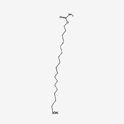 CCCCCCCCCCCCCCCCCCCCCCCCCCCOC(N)=O